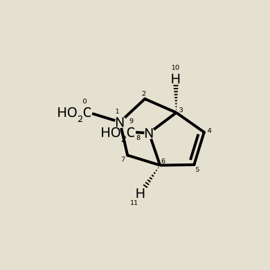 O=C(O)N1C[C@H]2C=C[C@@H](C1)N2C(=O)O